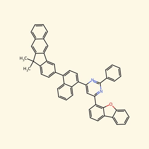 CC1(C)c2ccc(-c3ccc(-c4cc(-c5cccc6c5oc5ccccc56)nc(-c5ccccc5)n4)c4ccccc34)cc2-c2cc3ccccc3cc21